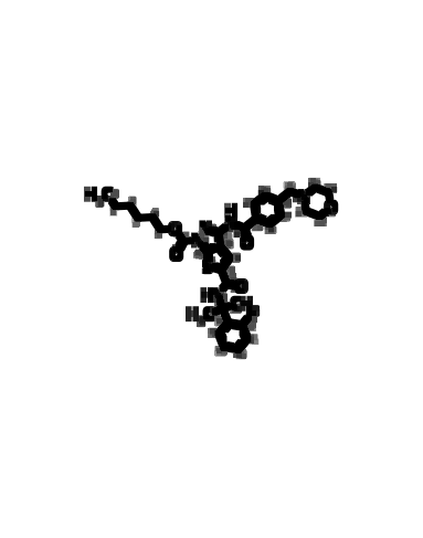 CCCCCCOC(=O)n1nc(NC(=O)c2ccc(CN3CCOCC3)cc2)c2cc(C(=O)NC(C)(C)c3ccccc3F)sc21